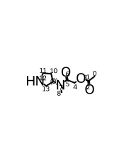 CC(=O)OCC(=O)N(C)[C@H]1CCNC1